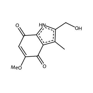 COC1=CC(=O)c2[nH]c(CO)c(C)c2C1=O